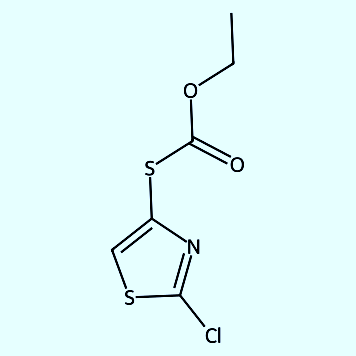 CCOC(=O)Sc1csc(Cl)n1